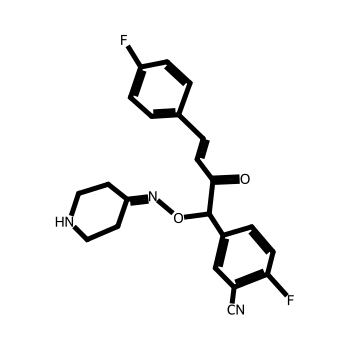 N#Cc1cc(C(ON=C2CCNCC2)C(=O)C=Cc2ccc(F)cc2)ccc1F